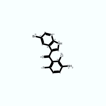 Nc1ccc(F)c(C(=O)c2c[nH]c3ncc(Br)cc23)c1Cl